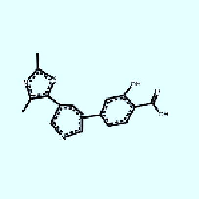 Cc1nc(C)c(-c2cncc(-c3ccc(C(=O)O)c(O)c3)c2)s1